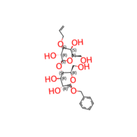 C=CCO[C@H]1[C@@H](O)[C@@H](CO)O[C@@H](O[C@H]2[C@H](O)[C@@H](O)[C@H](OCc3ccccc3)O[C@@H]2CO)[C@@H]1O